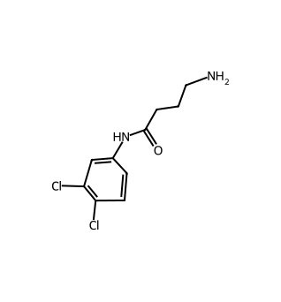 NCCCC(=O)Nc1ccc(Cl)c(Cl)c1